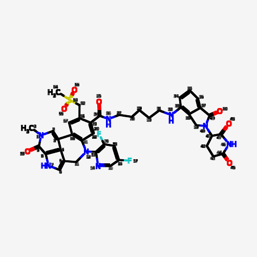 Cn1cc2c3c(c[nH]c3c1=O)CN(c1ncc(F)cc1F)c1cc(C(=O)NCCCCCNc3cccc4c3CN(C3CCC(=O)NC3=O)C4=O)c(CS(C)(=O)=O)cc1-2